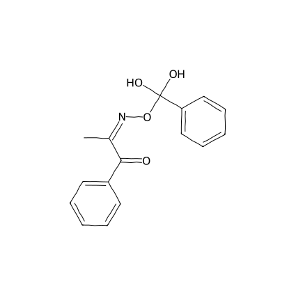 CC(=NOC(O)(O)c1ccccc1)C(=O)c1ccccc1